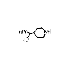 CCCC(O)C1CCNCC1